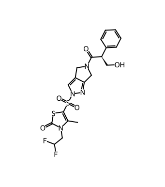 Cc1c(S(=O)(=O)n2cc3c(n2)CN(C(=O)[C@H](CO)c2ccccc2)C3)sc(=O)n1CC(F)F